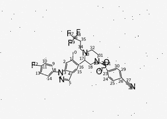 Cc1cc2c(cnn2-c2ccc(F)cc2)cc1C1CN(S(=O)(=O)c2ccc(C#N)cc2)CCN1CCC(F)(F)F